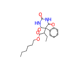 CCCCCCOC(=O)C(CC)C1(c2ccccc2)C(=O)NC(=O)NC1=O